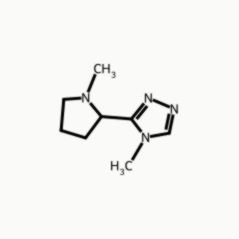 CN1CCCC1c1nncn1C